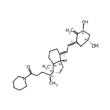 C=C1/C(=C/C=C2\CCC[C@]3(C)[C@@H]([C@@H](C)CCC(=O)N4CCCCC4)CC[C@@H]23)C[C@@H](O)C[C@@H]1O